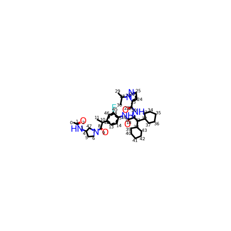 CC(=O)NC1CCN(C(=O)C(C)c2ccc(NC(=O)C(NC(=O)c3ccnn3C(C)C)C(C3CCCCC3)C3CCCCC3)c(F)c2)C1